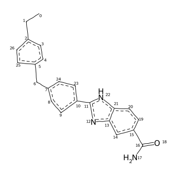 CCc1ccc(Cc2ccc(-c3nc4cc(C(N)=O)ccc4[nH]3)cc2)cc1